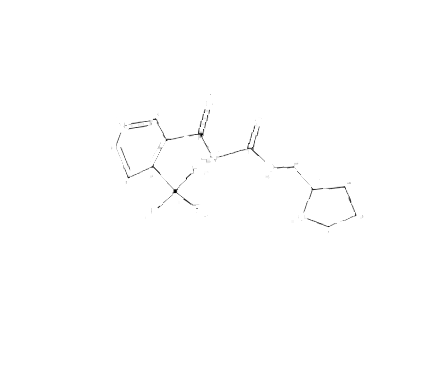 O=C(NC(=O)c1cnccc1C(F)(F)F)OCC1CCCO1